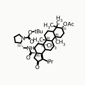 CC(=O)O[C@H]1CC[C@@]2(C)C(CC[C@]3(C)C2CCC2C4=C(C(C)C)C(=O)C[C@]4(C(=O)NC[C@@H]4CCCN4C(=O)OC(C)(C)C)CC[C@]23C)C1(C)C